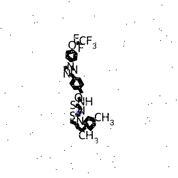 Cc1ccc2c(c1)N1C(=CC2C)CS/C1=N\C(=S)NOCc1ccc(-c2ncn(-c3ccc(OC(F)(F)C(F)(F)F)cc3)n2)cc1